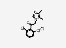 Cc1sc[n+](CC(=O)c2c(Cl)cccc2Cl)c1C.[Cl-]